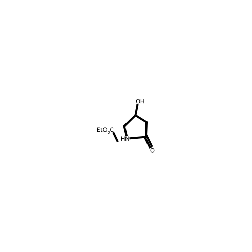 CCOC(C)=O.O=C1CC(O)CN1